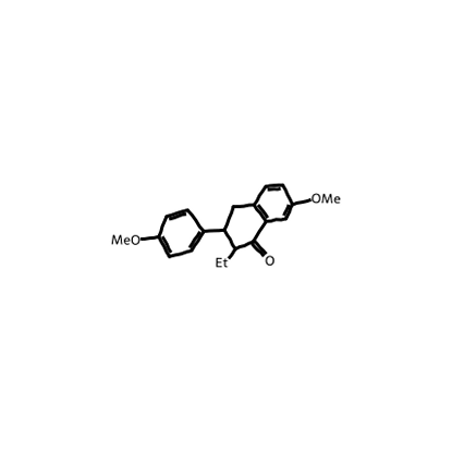 CCC1C(=O)c2cc(OC)ccc2CC1c1ccc(OC)cc1